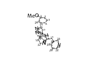 COc1cccc(-c2cn([C@@H]3C4CCN(CC4)C3Cc3cccnc3)nn2)c1